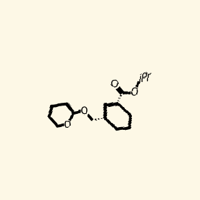 CC(C)OC(=O)[C@@H]1CCC[C@H](COC2CCCCO2)C1